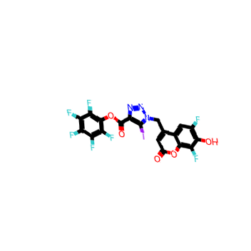 O=C(Oc1c(F)c(F)c(F)c(F)c1F)c1nnn(Cc2cc(=O)oc3c(F)c(O)c(F)cc23)c1I